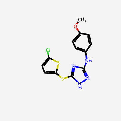 COc1ccc(Nc2n[nH]c(Sc3ccc(Cl)s3)n2)cc1